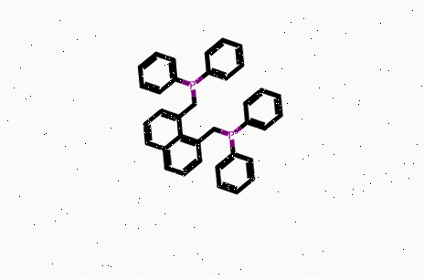 c1ccc(P(Cc2cccc3cccc(CP(c4ccccc4)c4ccccc4)c23)c2ccccc2)cc1